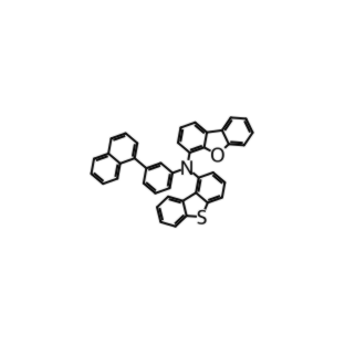 c1cc(-c2cccc3ccccc23)cc(N(c2cccc3c2oc2ccccc23)c2cccc3sc4ccccc4c23)c1